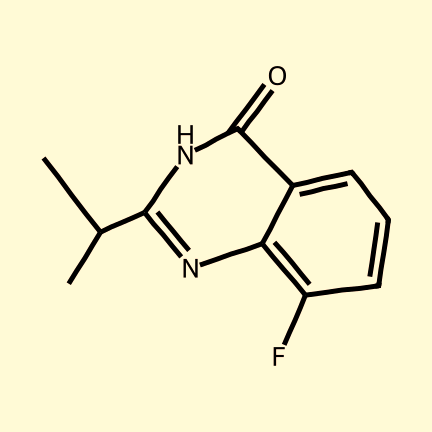 CC(C)c1nc2c(F)cccc2c(=O)[nH]1